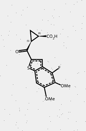 COc1cc2sc(C(=O)[C@H]3C[C@H]3C(=O)O)cc2c(F)c1OC